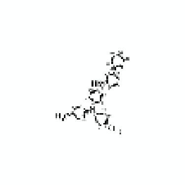 Cc1ccc(N(c2ccc(C)cc2)c2ccc(Nc3cccc(-c4ccccc4)c3)cc2)cc1